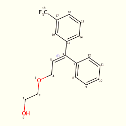 OCCOC/C=C(\c1ccccc1)c1cccc(C(F)(F)F)c1